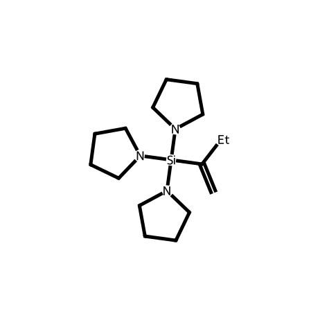 C=C(CC)[Si](N1CCCC1)(N1CCCC1)N1CCCC1